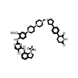 COc1cc(N2CCC(N3CCN(C[C@@H]4CCC(c5ccc(C6CCC(=O)NC6=O)cc5)C4)CC3)CC2)ccc1Nc1ncc(Cl)c(Nc2cccc3c2N(S(C)(=O)=O)CC3)n1